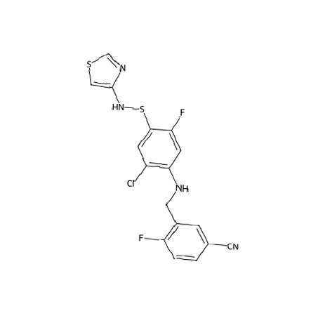 N#Cc1ccc(F)c(CNc2cc(F)c(SNc3cscn3)cc2Cl)c1